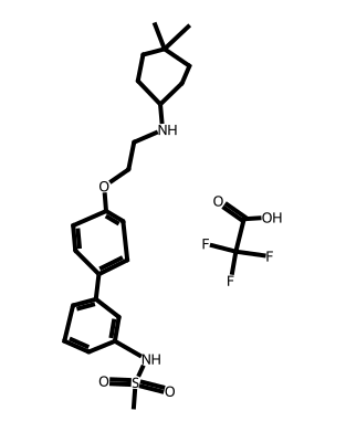 CC1(C)CCC(NCCOc2ccc(-c3cccc(NS(C)(=O)=O)c3)cc2)CC1.O=C(O)C(F)(F)F